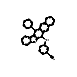 N#Cc1cccc(Nc2c3cc4ccccc4cc3c(-c3ccccc3)c3c2sc2ccccc23)c1